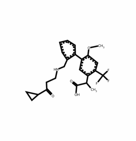 COc1cc(C(F)(F)F)c(C(C)C(=O)O)cc1-c1ccccc1CNCCC(=O)C1CC1